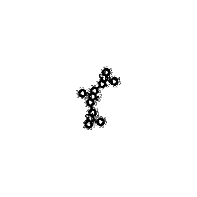 CC1(C)c2cc(-c3ccc4c(c3)Sc3ccccc3N4c3ccccc3)ccc2N(c2ccccc2)c2ccc(-c3ccc4c(c3)Sc3ccccc3N4c3ccccc3)cc21